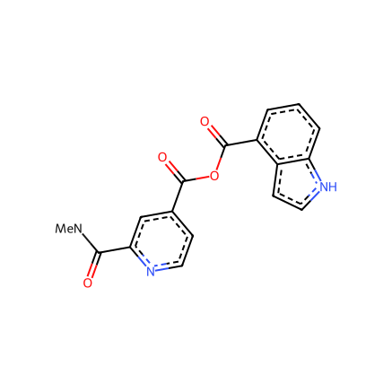 CNC(=O)c1cc(C(=O)OC(=O)c2cccc3[nH]ccc23)ccn1